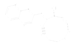 OC1C#CCCCCC#C/C1=C\c1ccc2ccccc2c1